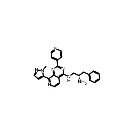 Cn1nccc1-c1nccc2c(NC[C@H](N)Cc3ccccc3)nc(-c3ccncc3)nc12